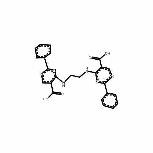 O=C(O)c1cnc(-c2ccccc2)nc1NCCNc1nc(-c2ccccc2)ncc1C(=O)O